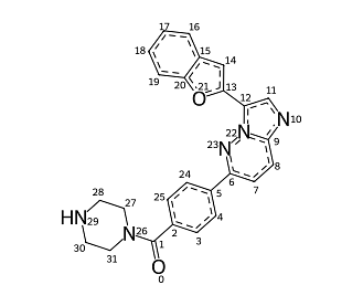 O=C(c1ccc(-c2ccc3ncc(-c4cc5ccccc5o4)n3n2)cc1)N1CCNCC1